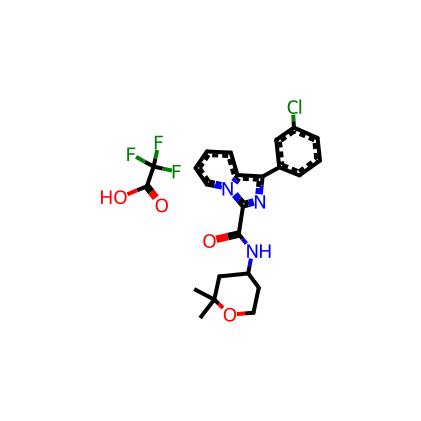 CC1(C)CC(NC(=O)c2nc(-c3cccc(Cl)c3)c3ccccn23)CCO1.O=C(O)C(F)(F)F